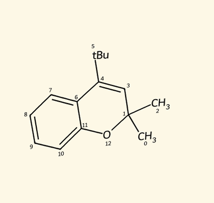 CC1(C)C=C(C(C)(C)C)c2ccccc2O1